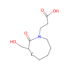 O=C(O)CCN1CCCCCC(CO)C1=O